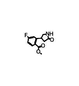 COC(=O)c1ccc(F)cc1C1CNC(=O)C1